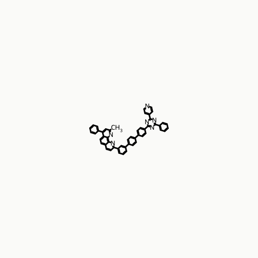 Cc1cc(-c2ccccc2)c2ccc3ccc(-c4cccc(-c5ccc(-c6ccc(-c7nc(-c8ccccc8)nc(-c8ccncc8)n7)cc6)cc5)c4)nc3c2n1